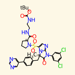 CC(C)(C)OC(=O)NCCNC(=O)[C@@H]1CCCN1S(=O)(=O)c1cnc2n1[C@](C)(Cc1ccc(-c3cncnc3)cc1)C(=O)N2c1cc(Cl)cc(Cl)c1